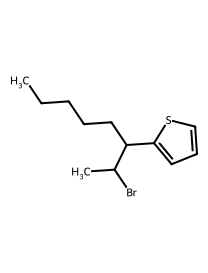 CCCCCC(c1cccs1)C(C)Br